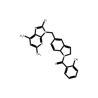 CCc1nc2c(C)cc(C)nc2n1CC1=CC2=CCN(C(=O)c3ccccc3C#N)C2C=C1